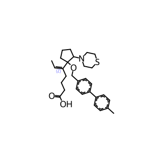 C/C=C(/CCCC(=O)O)C1(OCc2ccc(-c3ccc(C)cc3)cc2)CCCC1N1CCSCC1